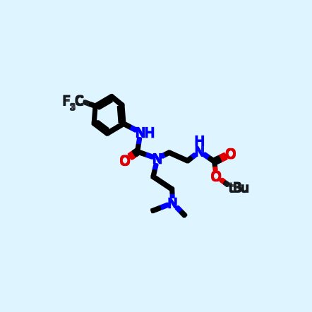 CN(C)CCN(CCNC(=O)OC(C)(C)C)C(=O)Nc1ccc(C(F)(F)F)cc1